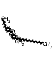 CCCCCCCCCCCCCCCOC(C)c1ccc(OC(=O)c2ccc(CCCCCC)cc2)cc1